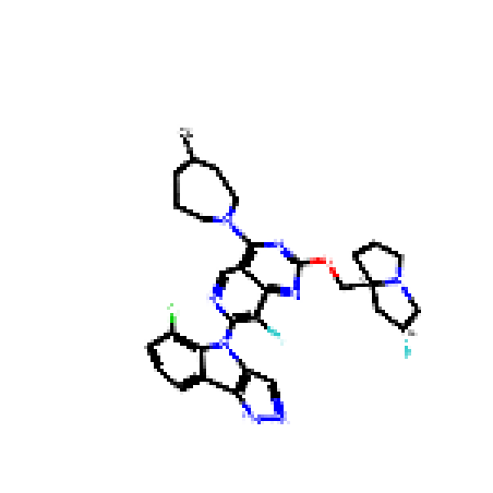 N#CC1CCCN(c2nc(OC[C@@]34CCCN3C[C@H](F)C4)nc3c(F)c(-n4c5cn[nH]c5c5cccc(Cl)c54)ncc23)CC1